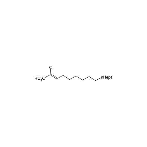 CCCCCCCCCCCCCC=C(Cl)C(=O)O